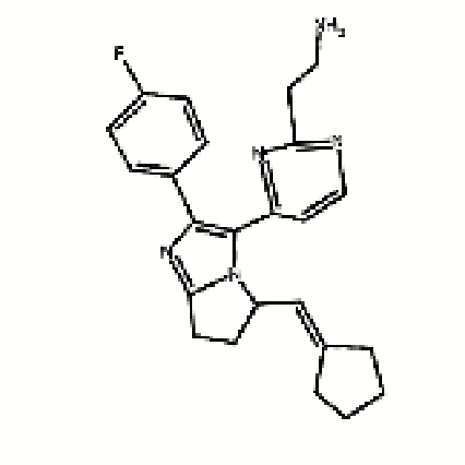 NCCc1nccc(-c2c(-c3ccc(F)cc3)nc3n2C(C=C2CCCC2)CC3)n1